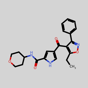 CCc1onc(-c2ccccc2)c1C(=O)c1c[nH]c(C(=O)NC2CCOCC2)c1